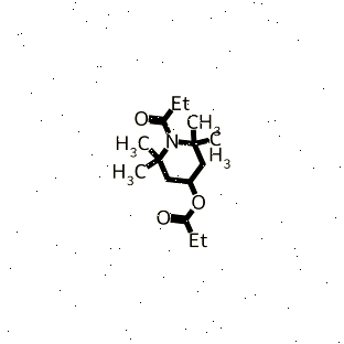 CCC(=O)OC1CC(C)(C)N(C(=O)CC)C(C)(C)C1